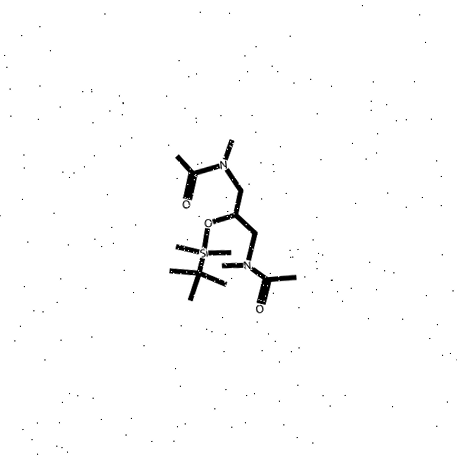 CC(=O)N(C)CC(CN(C)C(C)=O)O[Si](C)(C)C(C)(C)C